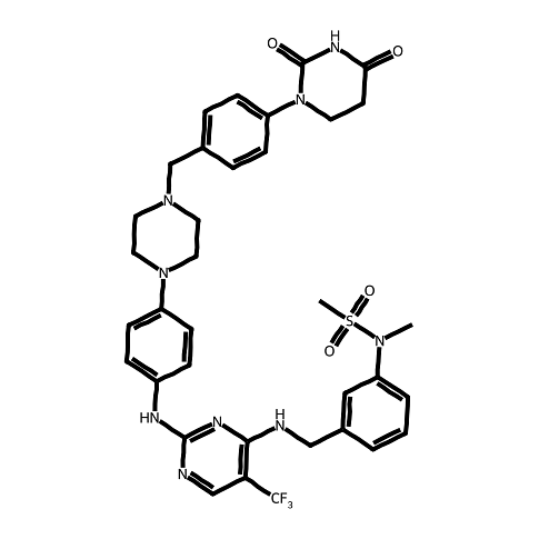 CN(c1cccc(CNc2nc(Nc3ccc(N4CCN(Cc5ccc(N6CCC(=O)NC6=O)cc5)CC4)cc3)ncc2C(F)(F)F)c1)S(C)(=O)=O